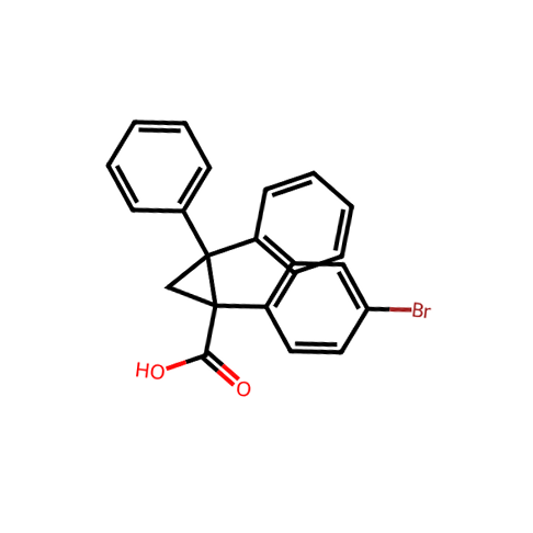 O=C(O)C1(c2ccc(Br)cc2)CC1(c1ccccc1)c1ccccc1